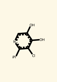 CC(C)c1ncc(O)c(O)c1Cl